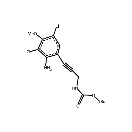 COc1c(Cl)cc(C#CCNC(=O)OC(C)(C)C)c(N)c1Cl